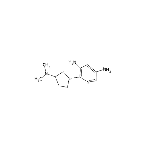 CN(C)C1CCN(c2ncc(N)cc2N)C1